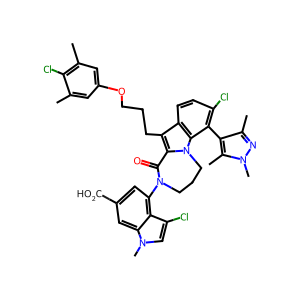 Cc1cc(OCCCc2c3n(c4c(-c5c(C)nn(C)c5C)c(Cl)ccc24)CCCN(c2cc(C(=O)O)cc4c2c(Cl)cn4C)C3=O)cc(C)c1Cl